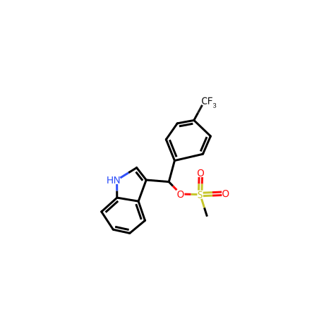 CS(=O)(=O)OC(c1ccc(C(F)(F)F)cc1)c1c[nH]c2ccccc12